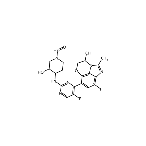 Cc1nc2c(F)cc(-c3nc(NC4CCN([SH]=O)CC4O)ncc3F)c3c2n1C(C)CO3